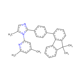 Cc1cc(C)nc(-n2c(C)cnc2-c2ccc(-c3cccc4c3-c3ccccc3C4(C)C)cc2)c1